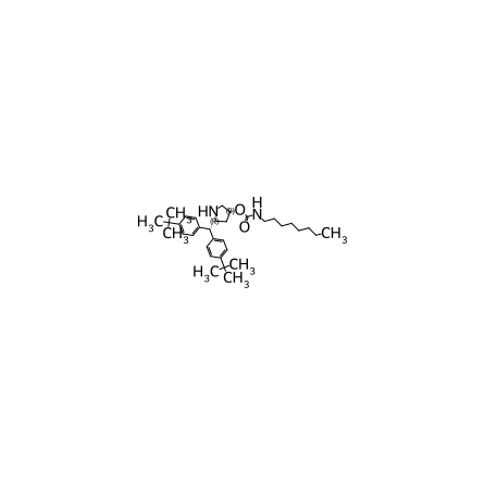 CCCCCCCCNC(=O)O[C@H]1CN[C@@H](C(c2ccc(C(C)(C)C)cc2)c2ccc(C(C)(C)C)cc2)C1